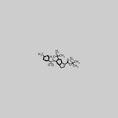 Cc1ccc(S(=O)(=O)Sc2cc3c(cc2C(C)(C)C)N(C(=O)OC(C)(C)C)CC3)cc1